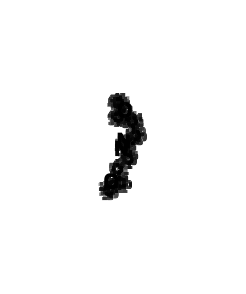 c1cc(-c2cccc(-c3cccc4c3oc3ccccc34)c2)cc(-c2cc(-c3cccc(-c4cccc(-c5cccc6c5oc5ccccc56)c4)c3)ncn2)c1